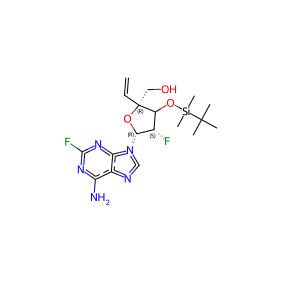 C=C[C@]1(CO)O[C@@H](n2cnc3c(N)nc(F)nc32)[C@@H](F)C1O[Si](C)(C)C(C)(C)C